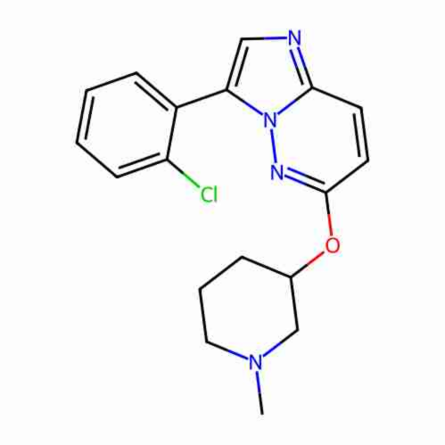 CN1CCCC(Oc2ccc3ncc(-c4ccccc4Cl)n3n2)C1